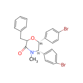 CN1C(=O)C(Cc2ccccc2)O[C@H](c2ccc(Br)cc2)[C@@H]1c1ccc(Br)cc1